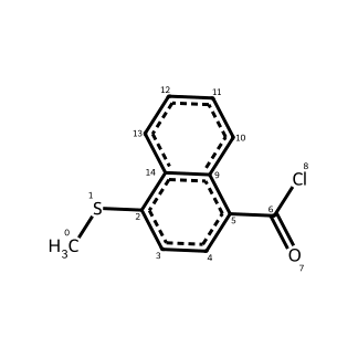 CSc1ccc(C(=O)Cl)c2ccccc12